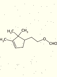 CC1=CCC(CCOC=O)C1(C)C